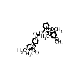 COc1cc(C)c(S(=O)(=O)N2CCCCC2COCC(=O)N2CCC(CNC(C)=O)(N3CCN(C)CC3)CC2)c(C)c1